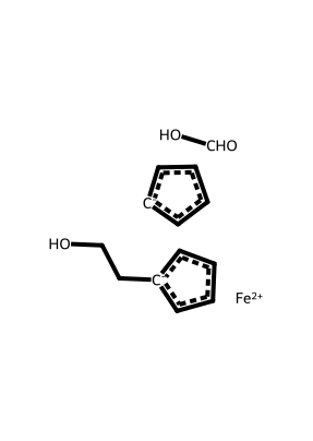 O=CO.OCC[c-]1cccc1.[Fe+2].c1cc[cH-]c1